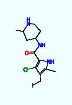 Cc1[nH]c(C(=O)NC2CCNC(C)C2)c(Cl)c1CI